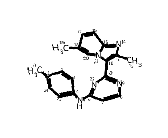 Cc1ccc(Nc2ccnc(-c3c(C)nc4ccc(C)cn34)n2)cc1